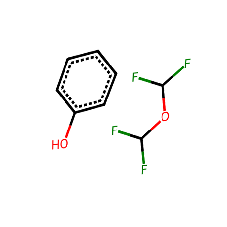 FC(F)OC(F)F.Oc1ccccc1